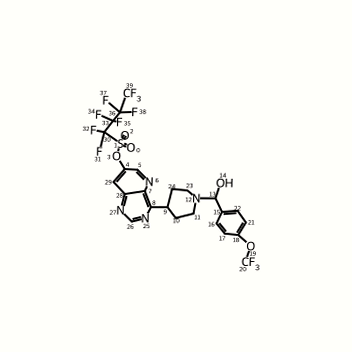 O=S(=O)(Oc1cnc2c(C3CCN(C(O)c4ccc(OC(F)(F)F)cc4)CC3)ncnc2c1)C(F)(F)C(F)(F)C(F)(F)C(F)(F)F